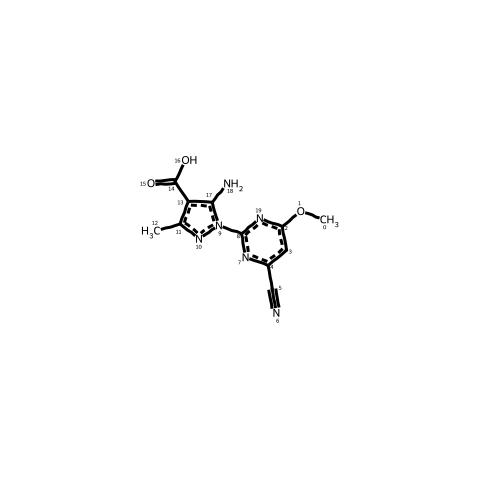 COc1cc(C#N)nc(-n2nc(C)c(C(=O)O)c2N)n1